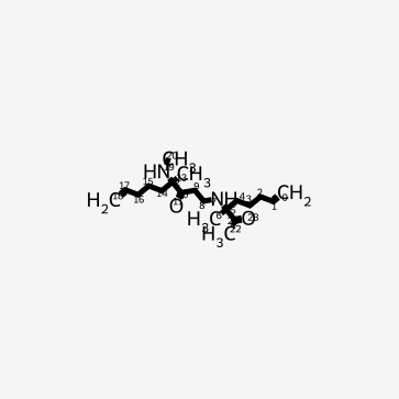 C=CCCCC(C)(NCCC(=O)C(C)(CCCC=C)NC)C(C)=O